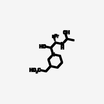 CCC[C@H](NC(C)O)C(O)N1CCCC(CC(=O)O)C1